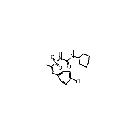 CC(=Cc1ccc(Cl)cc1)S(=O)(=O)NC(=O)NC1CCCCC1